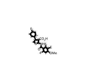 COc1cc(F)c(C(=O)Nc2scc(-c3ccc(F)cc3)c2C(=O)O)c(F)c1F